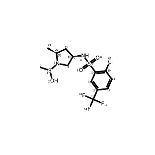 CB(O)N1C[C@H](NS(=O)(=O)c2cc(C(F)(F)F)ccc2Cl)C[C@@H]1C